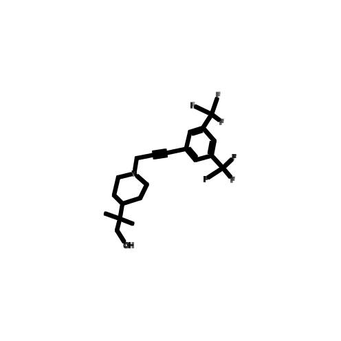 CC(C)(CO)C1CCN(CC#Cc2cc(C(F)(F)F)cc(C(F)(F)F)c2)CC1